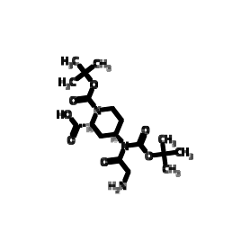 CC(C)(C)OC(=O)N1CC[C@@H](N(C(=O)CN)C(=O)OC(C)(C)C)C[C@@H]1C(=O)O